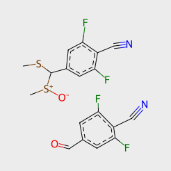 CSC(c1cc(F)c(C#N)c(F)c1)[S+](C)[O-].N#Cc1c(F)cc(C=O)cc1F